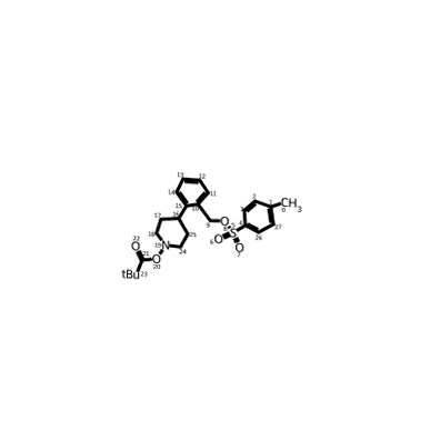 Cc1ccc(S(=O)(=O)OCc2ccccc2C2CCN(OC(=O)C(C)(C)C)CC2)cc1